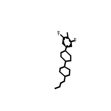 CCCCC1CCC(C2CCC(c3cc(F)c(C)c(F)c3)CC2)CC1